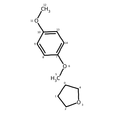 C1CCOC1.COc1ccc(OC)cc1